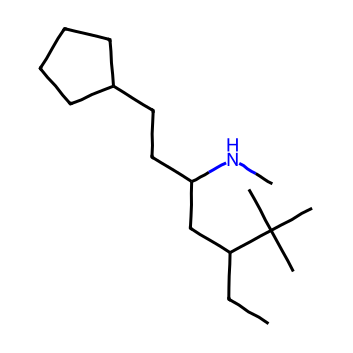 CCC(CC(CCC1CCCC1)NC)C(C)(C)C